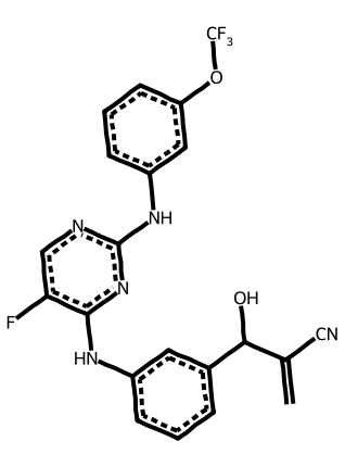 C=C(C#N)C(O)c1cccc(Nc2nc(Nc3cccc(OC(F)(F)F)c3)ncc2F)c1